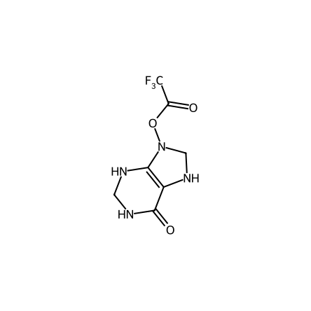 O=C1NCNC2=C1NCN2OC(=O)C(F)(F)F